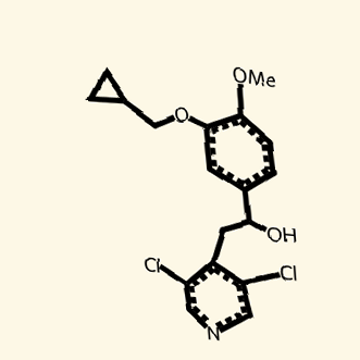 COc1ccc(C(O)Cc2c(Cl)cncc2Cl)cc1OCC1CC1